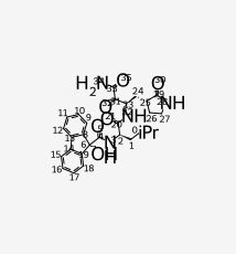 CC(C)C[C@@H](NC(=O)C1(O)c2ccccc2-c2ccccc21)C(=O)N[C@H](C[C@H]1CCNC1=O)C(=O)C(N)=O